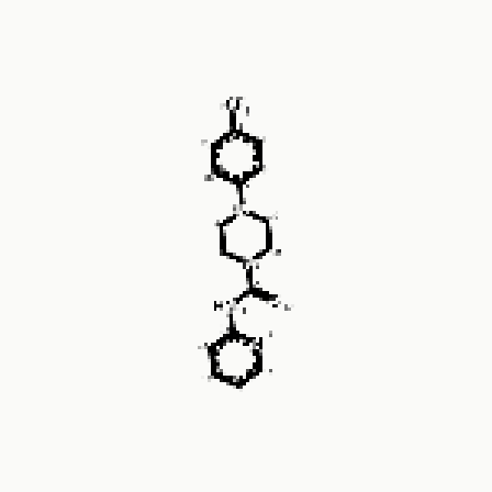 FC(F)(F)c1ccc(N2CCN(C(=S)Nc3ccccn3)CC2)cc1